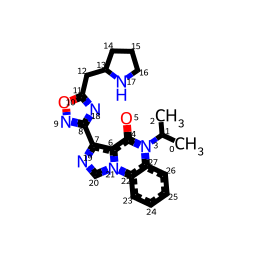 CC(C)n1c(=O)c2c(-c3noc(CC4CCCN4)n3)ncn2c2ccccc21